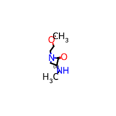 CN[C@H]1CN(CCOC)C1=O